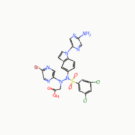 Nc1cnc(-n2ccc3cc(N(N(CC(=O)O)c4cnc(Br)cn4)S(=O)(=O)c4cc(Cl)cc(Cl)c4)ccc32)cn1